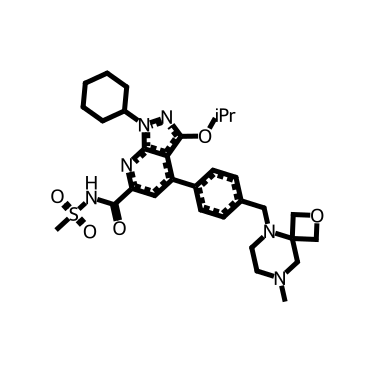 CC(C)Oc1nn(C2CCCCC2)c2nc(C(=O)NS(C)(=O)=O)cc(-c3ccc(CN4CCN(C)CC45COC5)cc3)c12